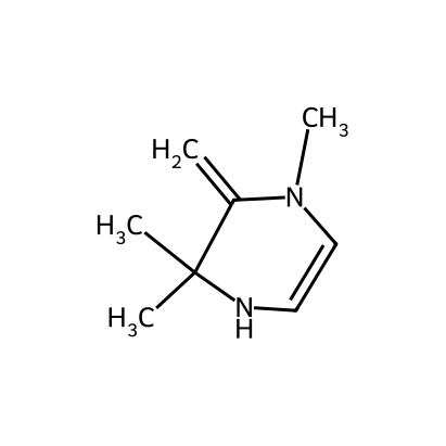 C=C1N(C)C=CNC1(C)C